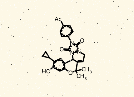 CC(=O)c1ccc(-n2c(=O)n3n(c2=O)C2C(=CC3)C(C)(C)Oc3cc(O)c(C4CC4)cc32)cc1